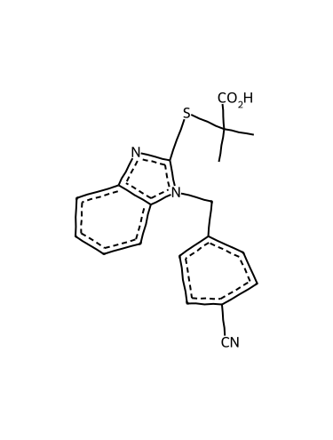 CC(C)(Sc1nc2ccccc2n1Cc1ccc(C#N)cc1)C(=O)O